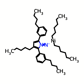 CCCCCC1=C(c2cccc(CCCC)c2)[N+](=[N-])C(c2cccc(CCCC)c2)=C1.CCCCC[CH2][Ni][CH2]CCCCC